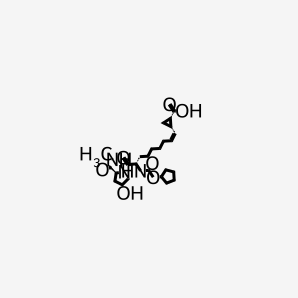 CNC(=O)[C@@H]1C[C@@H](O)CN1C(=O)[C@H](CCCCC/C=C\[C@@H]1C[C@@H]1C(=O)O)NC(=O)OC1CCCC1